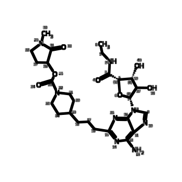 CCNC(=O)[C@H]1O[C@@H](n2cnc3c(N)nc(CCCC4CCN(C(=O)OC5CCN(C)C5=O)CC4)nc32)C(O)[C@H]1O